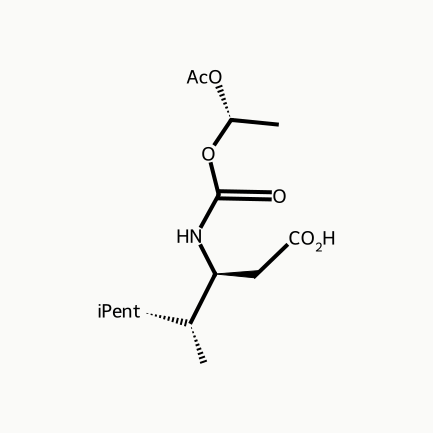 CCC[C@@H](C)[C@@H](C)[C@H](CC(=O)O)NC(=O)O[C@@H](C)OC(C)=O